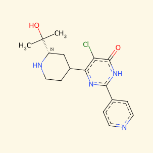 CC(C)(O)[C@@H]1CC(c2nc(-c3ccncc3)[nH]c(=O)c2Cl)CCN1